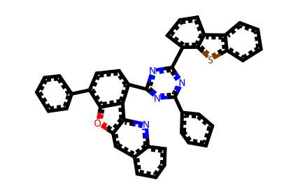 c1ccc(-c2nc(-c3cccc4c3sc3ccccc34)nc(-c3ccc(-c4ccccc4)c4oc5cc6ccccc6nc5c34)n2)cc1